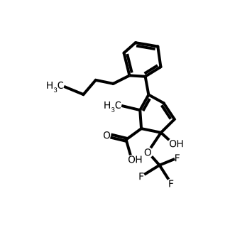 CCCCc1ccccc1C1=C(C)C(C(=O)O)C(O)(OC(F)(F)F)C=C1